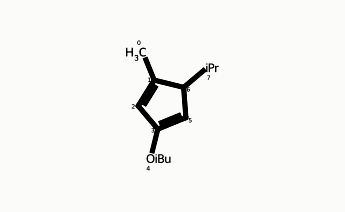 CC1=CC(OCC(C)C)=CC1C(C)C